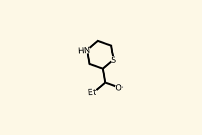 CCC([O])C1CNCCS1